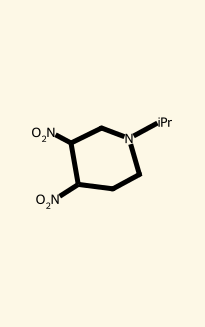 CC(C)N1CCC([N+](=O)[O-])C([N+](=O)[O-])C1